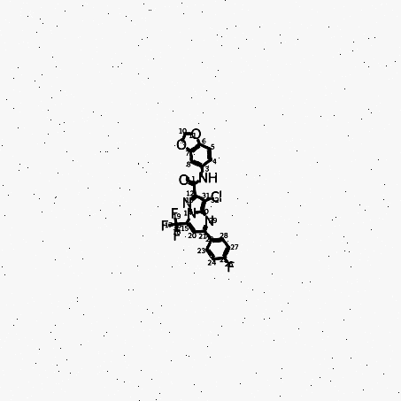 O=C(Nc1ccc2c(c1)OCO2)c1nn2c(C(F)(F)F)cc(-c3ccc(F)cc3)nc2c1Cl